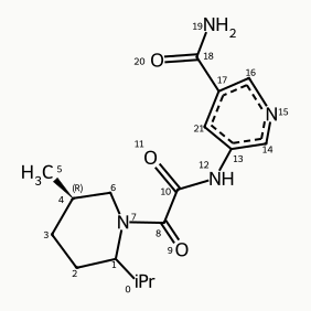 CC(C)C1CC[C@@H](C)CN1C(=O)C(=O)Nc1cncc(C(N)=O)c1